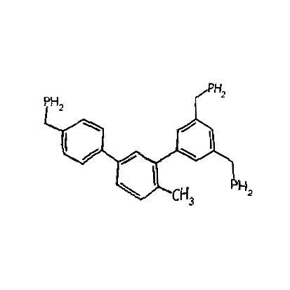 Cc1ccc(-c2ccc(CP)cc2)cc1-c1cc(CP)cc(CP)c1